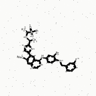 COc1cc2ncnc(Nc3ccc(OCc4cccc(F)c4)c(Br)c3)c2cc1-c1csc(C(C)OC(C)S(=O)(=O)C(C)C)n1